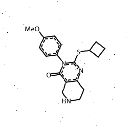 COc1ccc(-n2c(SC3CCC3)nc3c(c2=O)CNCC3)cc1